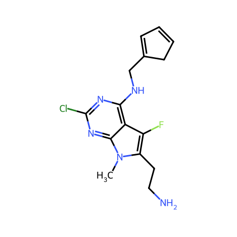 Cn1c(CCN)c(F)c2c(NCC3=CC=CC3)nc(Cl)nc21